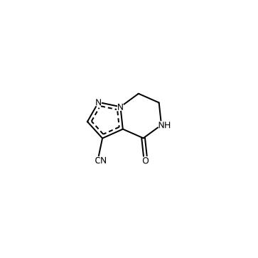 N#Cc1cnn2c1C(=O)NCC2